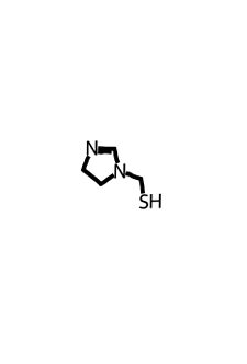 SCN1C=NCC1